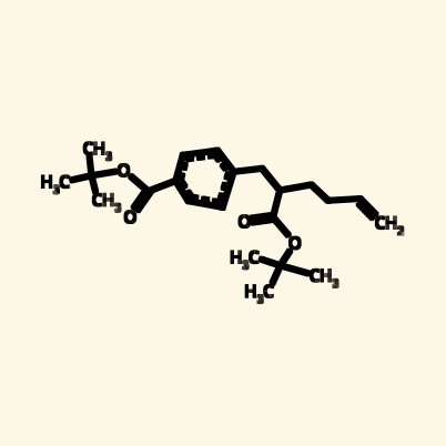 C=CCCC(Cc1ccc(C(=O)OC(C)(C)C)cc1)C(=O)OC(C)(C)C